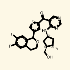 C[C@H]1C[C@H](Nc2ncncc2C(=O)c2cc(C3OCCc4cc(F)c(F)cc43)cs2)C[C@@H]1CO